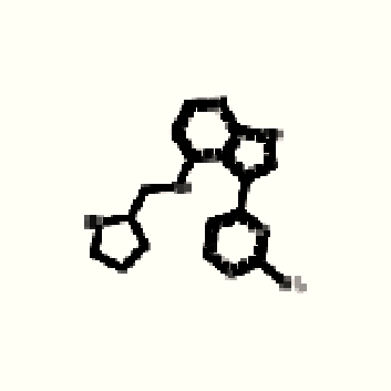 Nc1nccc(-c2c[nH]c3nccc(NCC4CCCN4)c23)n1